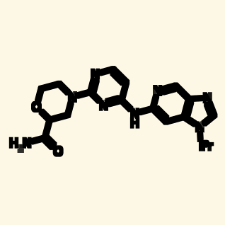 CC(C)n1cnc2cnc(Nc3ccnc(N4CCOC(C(N)=O)C4)n3)cc21